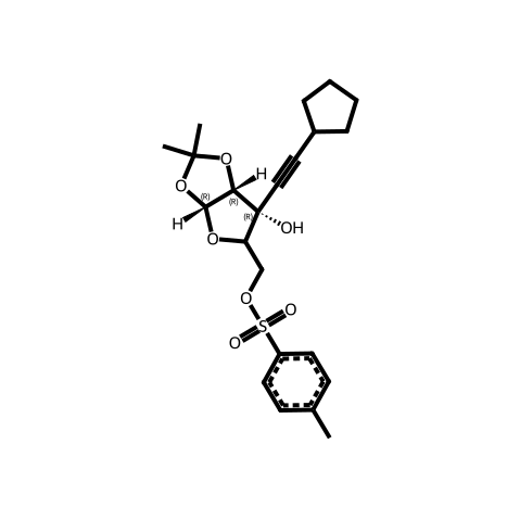 Cc1ccc(S(=O)(=O)OCC2O[C@@H]3OC(C)(C)O[C@@H]3[C@@]2(O)C#CC2CCCC2)cc1